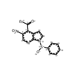 CCC(=O)c1c([N+](=O)[O-])cnc2c1ccn2[S+]([O-])c1ccccc1